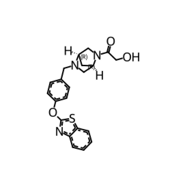 O=C(CO)N1C[C@H]2C[C@@H]1CN2Cc1ccc(Oc2nc3ccccc3s2)cc1